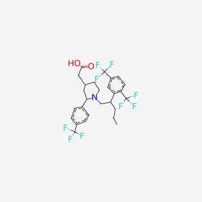 CCCC(CN1CCC(CC(=O)O)CC1c1ccc(C(F)(F)F)cc1)c1cc(C(F)(F)F)ccc1C(F)(F)F